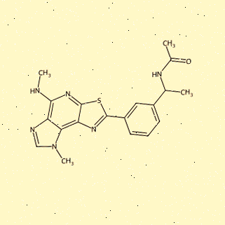 CNc1nc2sc(-c3cccc(C(C)NC(C)=O)c3)nc2c2c1ncn2C